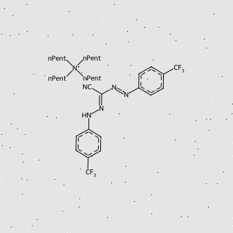 CCCCC[N+](CCCCC)(CCCCC)CCCCC.N#CC(N=Nc1ccc(C(F)(F)F)cc1)=NNc1ccc(C(F)(F)F)cc1